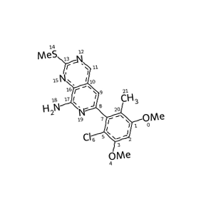 COc1cc(OC)c(Cl)c(-c2cc3cnc(SC)nc3c(N)n2)c1C